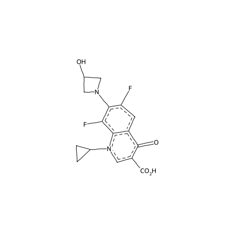 O=C(O)c1cn(C2CC2)c2c(F)c(N3CC(O)C3)c(F)cc2c1=O